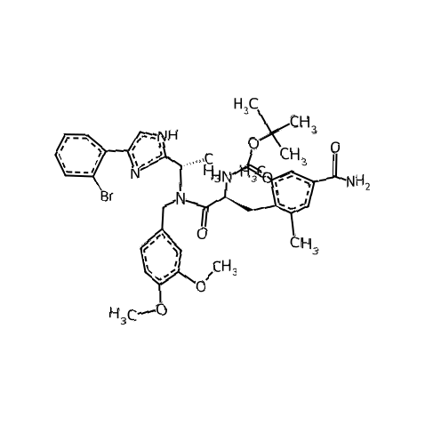 COc1ccc(CN(C(=O)[C@H](Cc2c(C)cc(C(N)=O)cc2C)NC(=O)OC(C)(C)C)[C@@H](C)c2nc(-c3ccccc3Br)c[nH]2)cc1OC